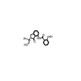 CCOc1ccccc1C(=O)Nc1cccc2c1C(=O)N([C@@H](CO)C(C)C)C2